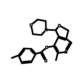 Cc1ccc(C(=O)Oc2c(C)ncc3c2C(N2CCOCC2)OC3)cc1